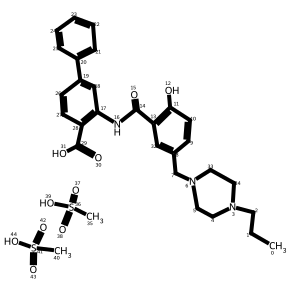 CCCN1CCN(Cc2ccc(O)c(C(=O)Nc3cc(-c4ccccc4)ccc3C(=O)O)c2)CC1.CS(=O)(=O)O.CS(=O)(=O)O